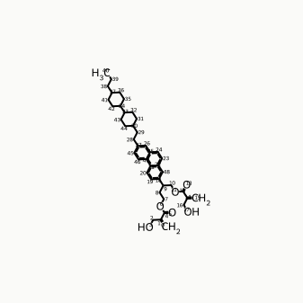 C=C(CO)C(=O)OCCC(COC(=O)C(=C)CO)c1ccc2c(ccc3cc(CCC4CCC(C5CCC(CCC)CC5)CC4)ccc32)c1